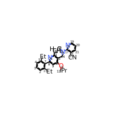 CCc1cccc(CC)c1-c1cc(OC(C)C)c(CN(C)c2ncccc2C#N)c(C)n1